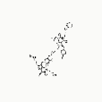 CCOCCCc1nc2c(c(=O)n(CCCO)c(=O)n2C)n1Cc1ccc(Cl)c(CCOCCCc2nc3c(c(=O)n(CCCOC4CCCCO4)c(=O)n3C)n2Cc2ccc(Cl)cc2)c1